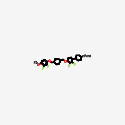 CCCCCC1CCC(c2ccc(OCC3C=CC(COc4ccc(OCC)c(F)c4F)CC3)c(F)c2F)CC1